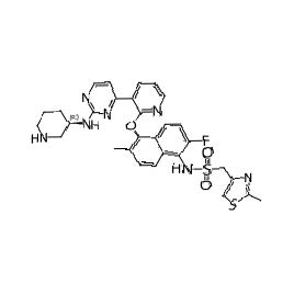 Cc1nc(CS(=O)(=O)Nc2c(F)ccc3c(Oc4ncccc4-c4ccnc(N[C@@H]5CCCNC5)n4)c(C)ccc23)cs1